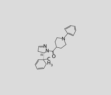 CC1([C@@H]2CC=NN2C(=O)C2CCN(c3ccccc3)CC2)C=CC=CC1